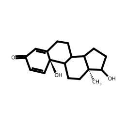 C[C@]12CCC3C(CCC4=CC(=O)C=C[C@]43O)C1CCC2O